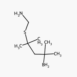 BC(C)(C)CC(C)(C)SCN